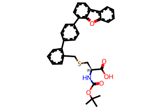 CC(C)(C)OC(=O)N[C@@H](CSCc1ccccc1-c1ccc(-c2cccc3c2oc2ccccc23)cc1)C(=O)O